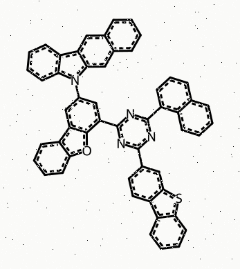 c1ccc2cc3c(cc2c1)c1ccccc1n3-c1cc(-c2nc(-c3ccc4c(c3)sc3ccccc34)nc(-c3cccc4ccccc34)n2)c2oc3ccccc3c2c1